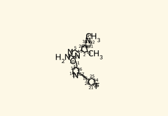 Cc1cc(-c2cnc(N)c(OCc3ccnc(C#Cc4ccc(F)cc4)c3)n2)cc2c1CCN(C)C2